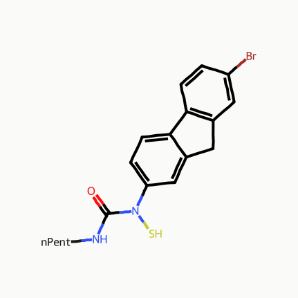 CCCCCNC(=O)N(S)c1ccc2c(c1)Cc1cc(Br)ccc1-2